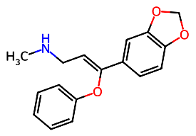 CNCC=C(Oc1ccccc1)c1ccc2c(c1)OCO2